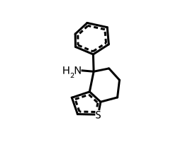 NC1(c2ccccc2)CCCc2sccc21